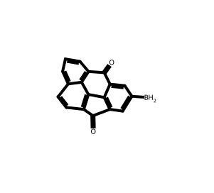 Bc1cc2c3c(c1)C(=O)c1cccc4ccc(c-3c14)C2=O